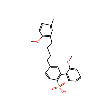 COc1ccc(C)cc1CCCCc1ccc(S(=O)(=O)O)c(-c2ccccc2OC)c1